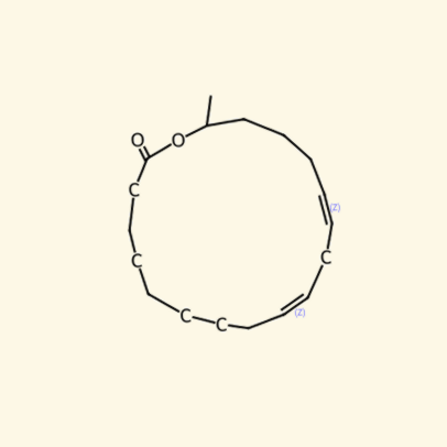 CC1CCC/C=C\C/C=C\CCCCCCCC(=O)O1